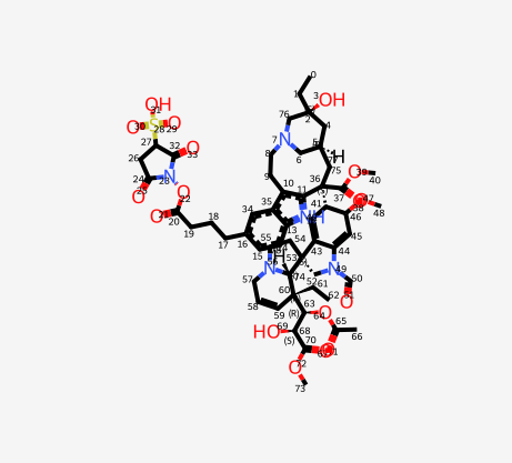 CC[C@]1(O)C[C@@H]2CN(CCc3c([nH]c4ccc(CCCC(=O)ON5C(=O)CC(S(=O)(=O)O)C5=O)cc34)[C@@](C(=O)OC)(C3C=C4C(=CC3OC)N(C=O)C[C@]43CCN4CC=C[C@@](CC)([C@@H](OC(C)=O)[C@H](O)C(=O)OC)[C@H]43)C2)C1